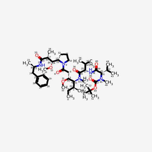 CC[C@H](C)[C@@H]([C@@H](CC(=O)N1CCC[C@H]1[C@H](OC)[C@@H](C)C(=O)N[C@H](C)Cc1ccccc1)OC)N(C)C(=O)[C@@H](NC(=O)[C@H](C(C)C)N(C)C(=O)OC(C)(C)C)C(C)C